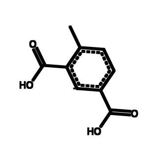 Cc1ccc(C(=O)O)[c]c1C(=O)O